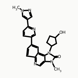 Cn1cc(-c2ccc(-c3ccc4ncc5c(c4c3)n(C3CCC(O)C3)c(=O)n5C)cn2)cn1